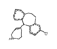 Clc1cnc2c(c1)CCc1ccccc1C2C1=CCNCC1